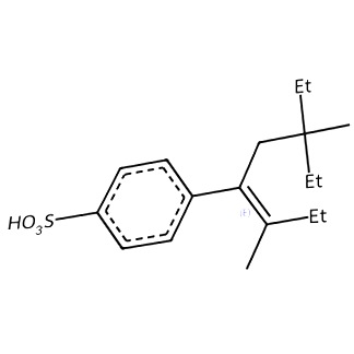 CC/C(C)=C(\CC(C)(CC)CC)c1ccc(S(=O)(=O)O)cc1